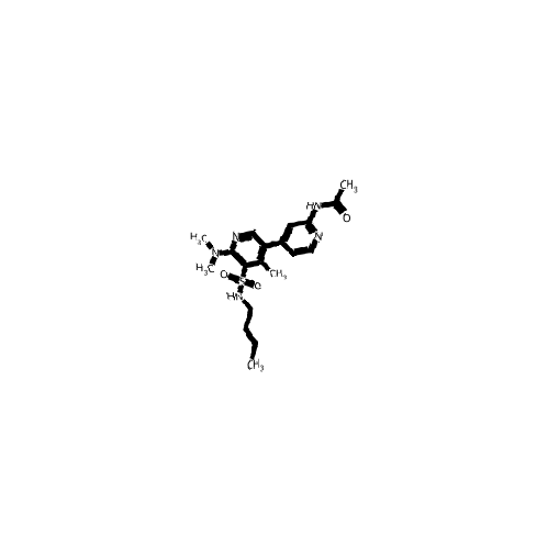 CCCCNS(=O)(=O)c1c(N(C)C)ncc(-c2ccnc(NC(C)=O)c2)c1C